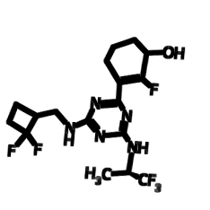 C[C@@H](Nc1nc(NCC2CCC2(F)F)nc(C2=C(F)C(O)CCC2)n1)C(F)(F)F